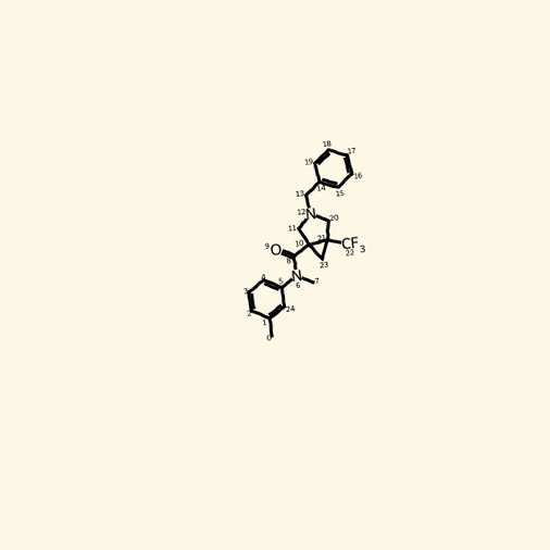 Cc1cccc(N(C)C(=O)C23CN(Cc4ccccc4)CC2(C(F)(F)F)C3)c1